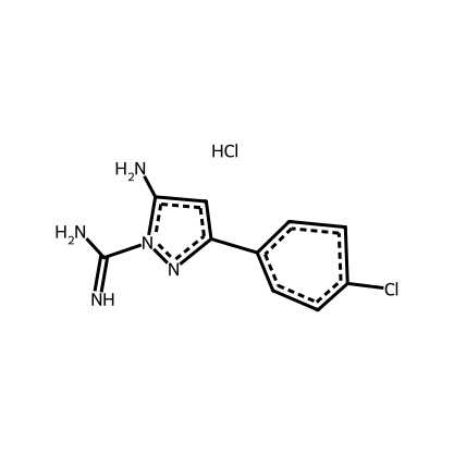 Cl.N=C(N)n1nc(-c2ccc(Cl)cc2)cc1N